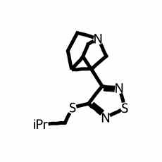 CC(C)CSc1nsnc1C1CN2CCC1CC2